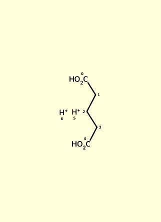 O=C(O)CCCC(=O)O.[H+].[H+]